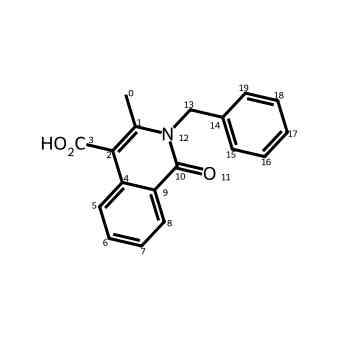 Cc1c(C(=O)O)c2ccccc2c(=O)n1Cc1ccccc1